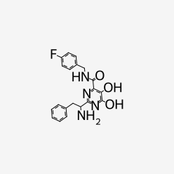 NC(Cc1ccccc1)c1nc(O)c(O)c(C(=O)NCc2ccc(F)cc2)n1